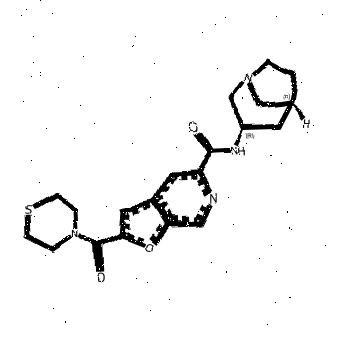 O=C(N[C@@H]1C[C@H]2CCN(C2)C1)c1cc2cc(C(=O)N3CCSCC3)oc2cn1